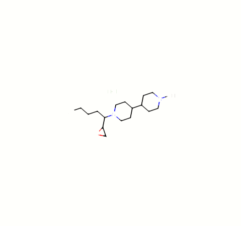 CCCCC(C1CO1)N1CCC(C2CCN(C)CC2)CC1.Cl